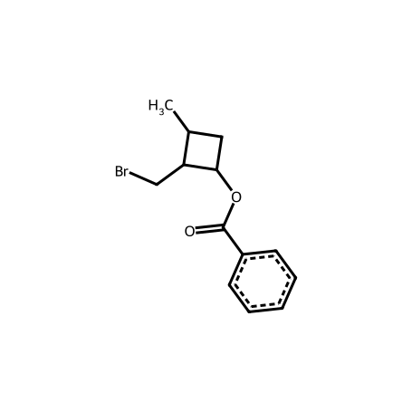 CC1CC(OC(=O)c2ccccc2)C1CBr